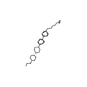 CCC[C@H]1CC[C@H](C2CCC(c3ccc(-c4ccc(CCCCCF)cc4)cc3)CC2)CC1